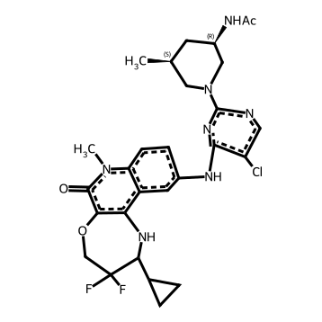 CC(=O)N[C@@H]1C[C@H](C)CN(c2ncc(Cl)c(Nc3ccc4c(c3)c3c(c(=O)n4C)OCC(F)(F)C(C4CC4)N3)n2)C1